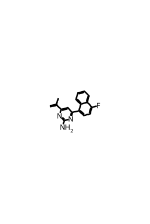 C=C(C)c1cc(-c2ccc(F)c3ccccc23)nc(N)n1